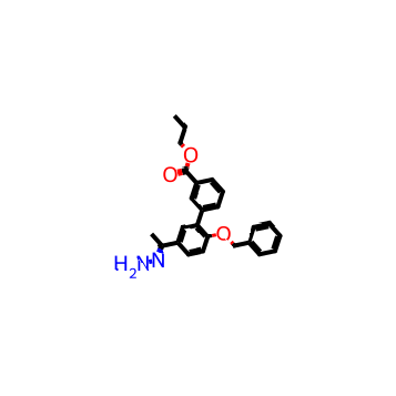 CCCOC(=O)c1cccc(-c2cc(C(C)=NN)ccc2OCc2ccccc2)c1